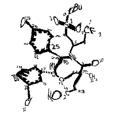 CC(C)(C)S(=O)(=O)CC(CC(F)(F)F)N1C(=O)[C@@](C)(CC(=O)O)O[C@H](c2cccc(Cl)c2)[C@H]1c1ccc(Cl)cc1